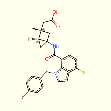 C[C@@]1(CC(=O)O)CC2(NC(=O)c3ccc(F)c4ccn(Cc5ccc(I)cc5)c34)C[C@@H]21